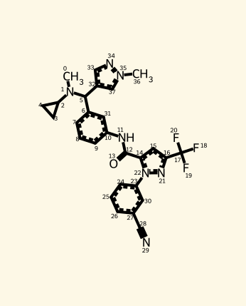 CN(C1CC1)C(c1cccc(NC(=O)c2cc(C(F)(F)F)nn2-c2cccc(C#N)c2)c1)c1cnn(C)c1